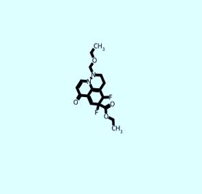 CCOCN1CCC2=c3c(c(=O)ccn31)=CC(F)(C(=O)OCC)C2F